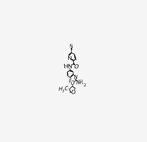 C[C@H]1COCC1O/C(N)=N\c1cc(NC(=O)c2ccc(C#N)cn2)ccc1F